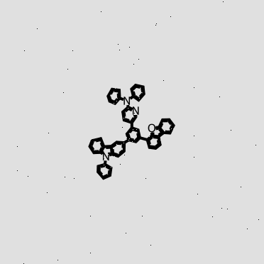 c1ccc(N(c2ccccc2)c2ccc(-c3cc(-c4ccc5c(c4)c4ccccc4n5-c4ccccc4)cc(-c4cccc5c4oc4ccccc45)c3)cn2)cc1